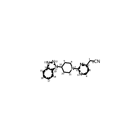 N#CCc1ccnc(N2CCC(n3nnc4ccccc43)CC2)n1